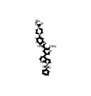 COc1ncc(-c2ccnc3c2ccn3S(=O)(=O)c2ccccc2)cc1-c1nc2cc(N3CCN(C(=O)OC(C)(C)C)CC3)ccc2[nH]1